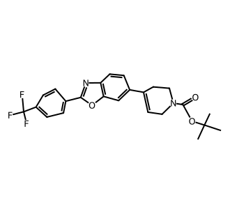 CC(C)(C)OC(=O)N1CC=C(c2ccc3nc(-c4ccc(C(F)(F)F)cc4)oc3c2)CC1